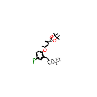 C=C(/C=C(\C)Oc1ccc(F)cc1CC(=O)OCC)B1OC(C)(C)C(C)(C)O1